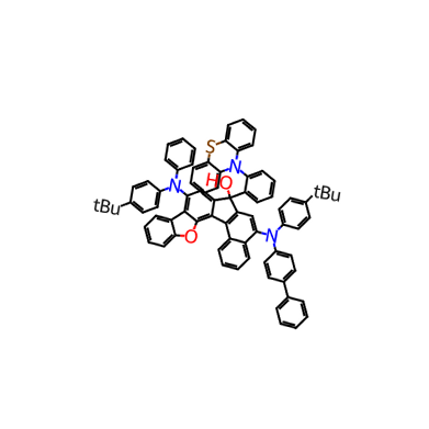 CC(C)(C)c1ccc(N(c2ccc(-c3ccccc3)cc2)c2cc3c(c4ccccc24)-c2c(cc(N(c4ccccc4)c4ccc(C(C)(C)C)cc4)c4c2oc2ccccc24)C3(O)c2ccccc2N2c3ccccc3Sc3ccccc32)cc1